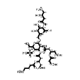 CCCCCCCCCCCCCC(=O)O[C@H](CCCCCCCCCCC)CC(=O)OC1[C@H](OP(=O)(O)O)C(CO)O[C@@H](OCC2OC(O)[C@@H](NC(=O)C[C@H](O)CCCCCCCCCCC)C(O)[C@@H]2O)[C@H]1NC(=O)C[C@@H](CCCCCCCCCCC)OC(=O)CCCCCCCCCCC